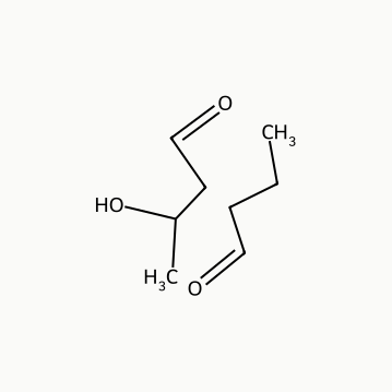 CC(O)CC=O.CCCC=O